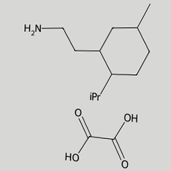 CC1CCC(C(C)C)C(CCN)C1.O=C(O)C(=O)O